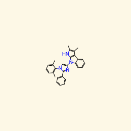 Cc1cccc(C)c1-n1cc(-n2c3ccccc3c3c(C)c(C)[nH]c32)nc1-c1ccccc1